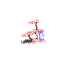 NCCN.O=C(O)CCC(=O)O.O=C(O)CCC(=O)O.O=C(O)CCC(=O)O.[NaH].[NaH].[NaH]